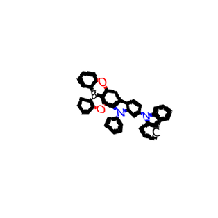 C1=CC2OC3CC4C(=C5OC6=C(CCC=C6)B(C2C=C1)C53)N(c1ccccc1)C1C=C(n2c3ccccc3c3ccccc32)C=CC41